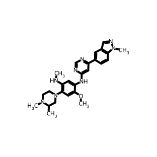 CNc1cc(Nc2cc(-c3ccc4c(cnn4C)c3)ncn2)c(OC)cc1N1CCN(C)C(C)C1